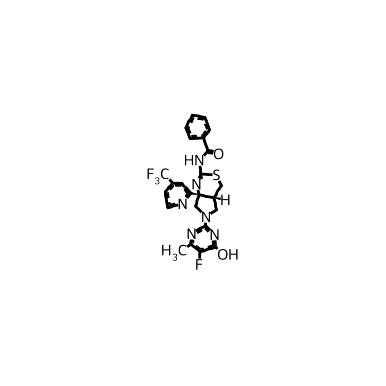 Cc1nc(N2C[C@H]3CSC(NC(=O)c4ccccc4)=N[C@@]3(c3cc(C(F)(F)F)ccn3)C2)nc(O)c1F